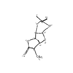 CC(=O)OC1C(=O)OC2C3OC(C)(C)OC3OC12